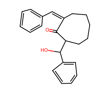 O=C1/C(=C\c2ccccc2)CCCCCC1C(O)c1ccccc1